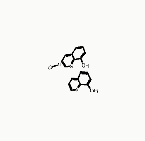 Oc1cccc2cccnc12.Oc1cccc2cccnc12.[Al][Cl]